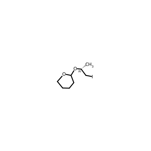 C[C@H](CI)OC1CCCCO1